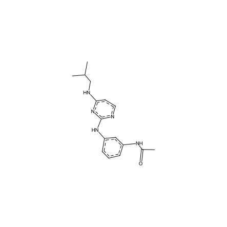 CC(=O)Nc1cccc(Nc2nccc(NCC(C)C)n2)c1